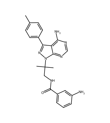 Cc1ccc(-c2nn(C(C)(C)CNC(=O)c3cccc(N)c3)c3ncnc(N)c23)cc1